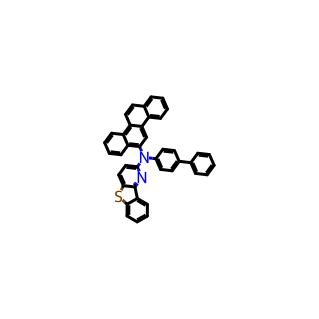 c1ccc(-c2ccc(N(c3ccc4sc5ccccc5c4n3)c3cc4c5ccccc5ccc4c4ccccc34)cc2)cc1